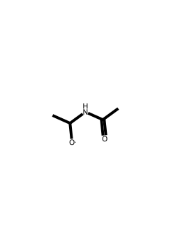 CC(=O)NC(C)[O]